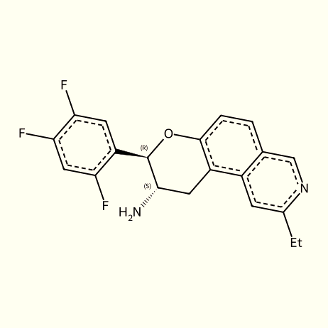 CCc1cc2c3c(ccc2cn1)O[C@H](c1cc(F)c(F)cc1F)[C@@H](N)C3